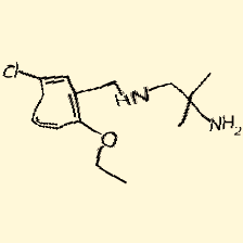 CCOc1ccc(Cl)cc1CNCC(C)(C)N